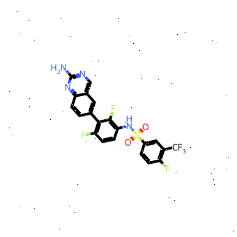 Nc1ncc2cc(-c3c(F)ccc(NS(=O)(=O)c4ccc(F)c(C(F)(F)F)c4)c3F)ccc2n1